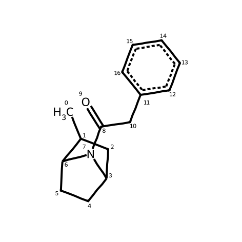 CC1CC2CCC1N2C(=O)Cc1ccccc1